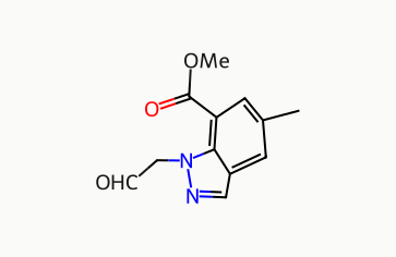 COC(=O)c1cc(C)cc2cnn(CC=O)c12